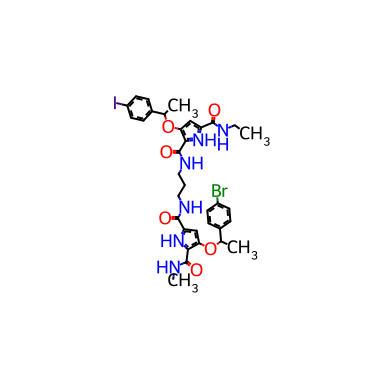 CCNC(=O)c1cc(OC(C)c2ccc(I)cc2)c(C(=O)NCCCNC(=O)c2cc(OC(C)c3ccc(Br)cc3)c(C(=O)NC)[nH]2)[nH]1